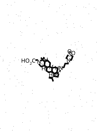 C=C(C)[C@@H]1CC[C@]2(CNCCCN3CCS(=O)(=O)CC3)CC[C@]3(C)[C@H](CC[C@@H]4[C@@]5(C)CCN(CC(=O)O)C(C)(C)[C@@H]5CC[C@]43C)[C@@H]12